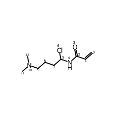 C=CC(=O)NC(Cl)CCCN(C)C